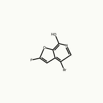 Oc1ncc(Br)c2cc(F)oc12